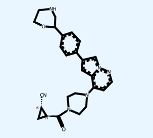 N#C[C@H]1C[C@@H]1C(=O)N1CCN(c2ccnn3cc(-c4ccc(C5CNCCO5)cc4)cc23)CC1